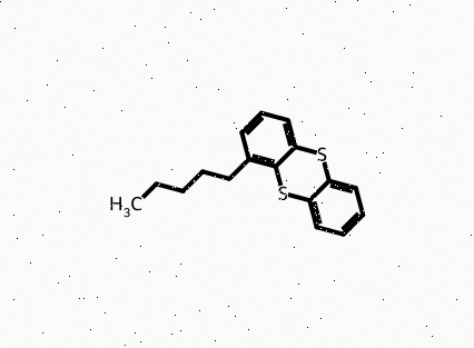 CCCCCc1cccc2c1Sc1ccccc1S2